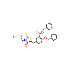 O=C(O)CN1C(=O)C(=Cc2ccc(OCc3ccccc3)c(C(=O)OCc3ccccc3)c2)SC1=S